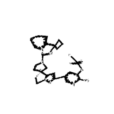 Nc1ncc(-c2cc3n(n2)CC[C@@]32CCN(C(=O)NC3(c4ccccn4)CCC3)C2)cc1OC(F)(F)F